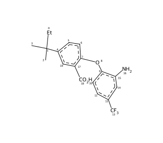 CCC(C)(C)c1ccc(Oc2ccc(C(F)(F)F)cc2N)c(C(=O)O)c1